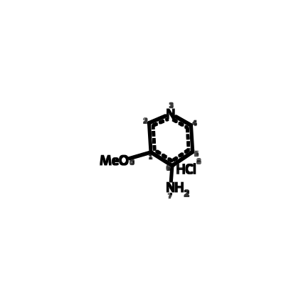 COc1cnccc1N.Cl